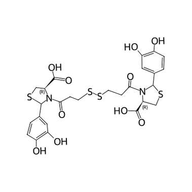 O=C(O)[C@@H]1CSC(c2ccc(O)c(O)c2)N1C(=O)CCSSCCC(=O)N1C(c2ccc(O)c(O)c2)SC[C@H]1C(=O)O